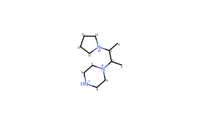 CC(C(C)N1CCNCC1)N1CCCC1